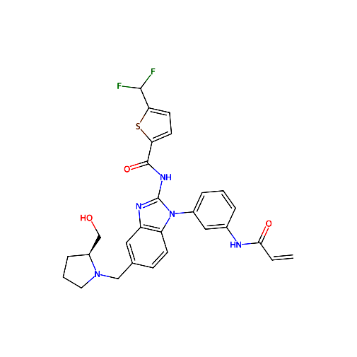 C=CC(=O)Nc1cccc(-n2c(NC(=O)c3ccc(C(F)F)s3)nc3cc(CN4CCC[C@H]4CO)ccc32)c1